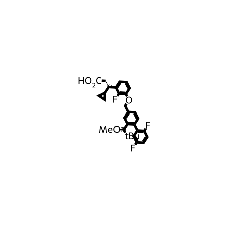 CO[C@@H](c1cc(COc2cccc([C@@H](CC(=O)O)C3CC3)c2F)ccc1-c1cc(F)ccc1F)C(C)(C)C